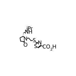 CC(C)NC[C@H]1CCC(=O)N1CCSc1nc(C(=O)O)cs1